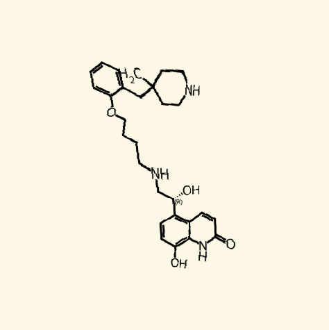 [CH2]C1(Cc2ccccc2OCCCCNC[C@H](O)c2ccc(O)c3[nH]c(=O)ccc23)CCNCC1